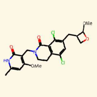 COc1cc(C)[nH]c(=O)c1CN1CCc2c(Cl)cc(CC3COC3OC)c(Cl)c2C1=O